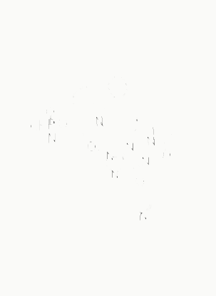 CC(C#N)COc1nc(NC(=O)C(C)C)nc2c1ncn2[C@H]1CN(C(c2ccccc2)(c2ccccc2)c2ccccc2)C[C@@H](CO[P@](=O)(Cl)N(C)C)O1